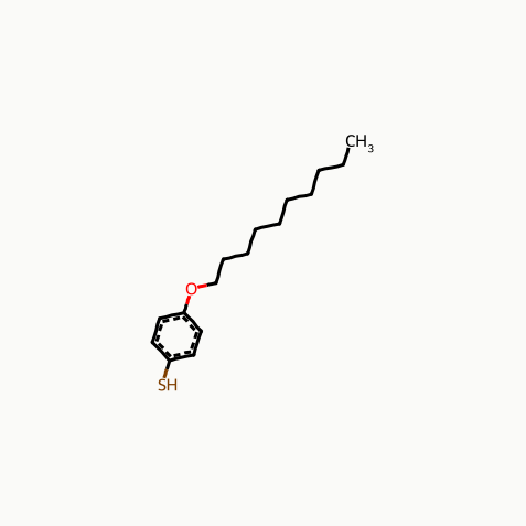 CCCCCCCCCCOc1ccc(S)cc1